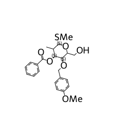 COc1ccc(CO[C@@H]2C(CO)O[C@@H](SC)C(C)[C@@H]2OC(=O)c2ccccc2)cc1